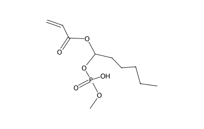 C=CC(=O)OC(CCCCC)OP(=O)(O)OC